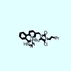 CCCCc1c(Cl)n(CCC(C)C)c(=O)n1Cc1ccc(-c2ccccc2-c2nnn[nH]2)nc1